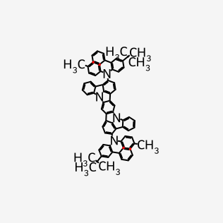 Cc1ccc(N(c2ccc(C(C)(C)C)cc2-c2ccccc2)c2ccc3c4cc5c(cc4n4c6ccccc6c2c34)c2ccc(N(c3ccc(C)cc3)c3ccc(C(C)(C)C)cc3-c3ccccc3)c3c4ccccc4n5c23)cc1